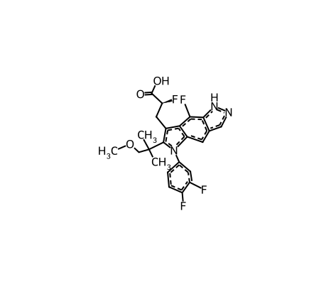 COCC(C)(C)c1c(C[C@H](F)C(=O)O)c2c(F)c3[nH]ncc3cc2n1-c1ccc(F)c(F)c1